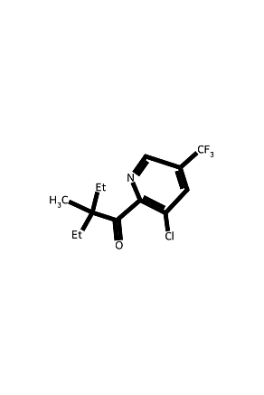 CCC(C)(CC)C(=O)c1ncc(C(F)(F)F)cc1Cl